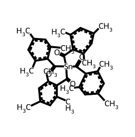 Cc1cc(C)c([C](=O)[Sn]([C](=O)c2c(C)cc(C)cc2C)([C](=O)c2c(C)cc(C)cc2C)[C](=O)c2c(C)cc(C)cc2C)c(C)c1